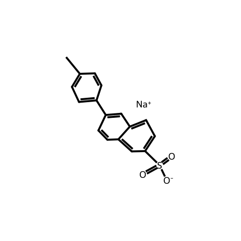 Cc1ccc(-c2ccc3cc(S(=O)(=O)[O-])ccc3c2)cc1.[Na+]